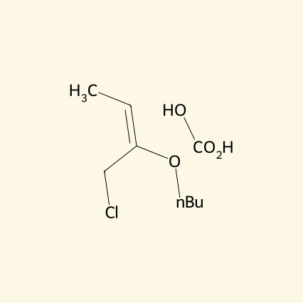 C/C=C(\CCl)OCCCC.O=C(O)O